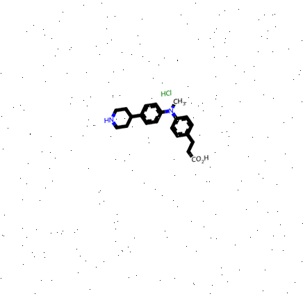 CN(c1ccc(CCC(=O)O)cc1)c1ccc(C2CCNCC2)cc1.Cl